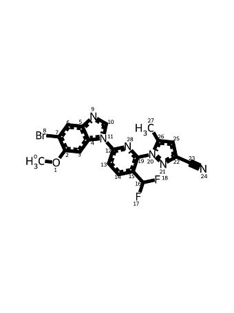 COc1cc2c(cc1Br)ncn2-c1ccc(C(F)F)c(-n2nc(C#N)cc2C)n1